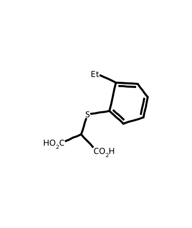 CCc1ccccc1SC(C(=O)O)C(=O)O